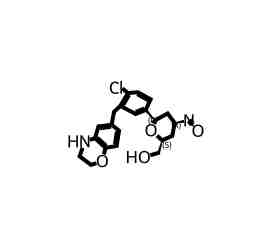 O=N[C@H]1C[C@@H](CO)O[C@@H](c2ccc(Cl)c(Cc3ccc4c(c3)NCCO4)c2)C1